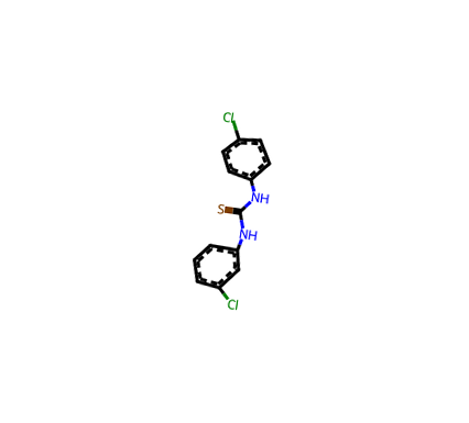 S=C(Nc1ccc(Cl)cc1)Nc1cccc(Cl)c1